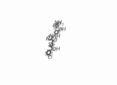 NS(=O)(=O)OC[C@H]1C[C@@H](Nc2ncncc2C(=O)c2cc([C@@H](O)c3cccc(Cl)c3)cs2)C[C@@H]1O